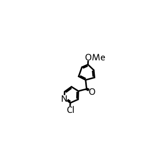 COc1ccc(C(=O)c2ccnc(Cl)c2)cc1